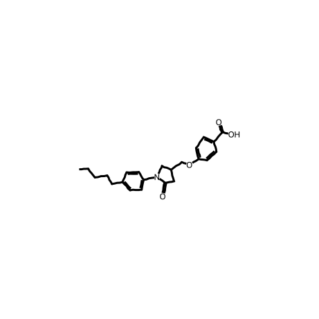 CCCCCc1ccc(N2CC(COc3ccc(C(=O)O)cc3)CC2=O)cc1